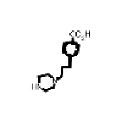 O=C(O)c1ccc(CCCN2CCNCC2)cc1